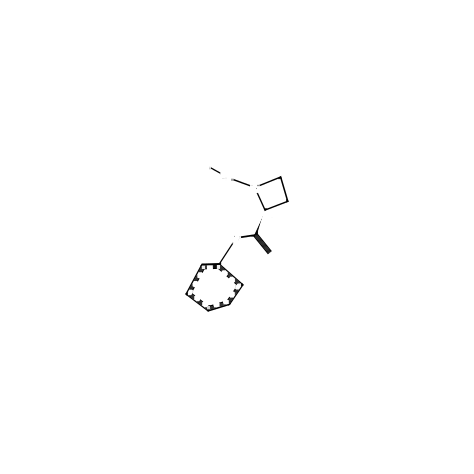 O=C(Nc1ccccc1)[C@@H]1CC[N]1[Ru][Cl]